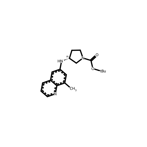 Cc1cc(N[C@@H]2CCN(C(=O)OC(C)(C)C)C2)cc2cccnc12